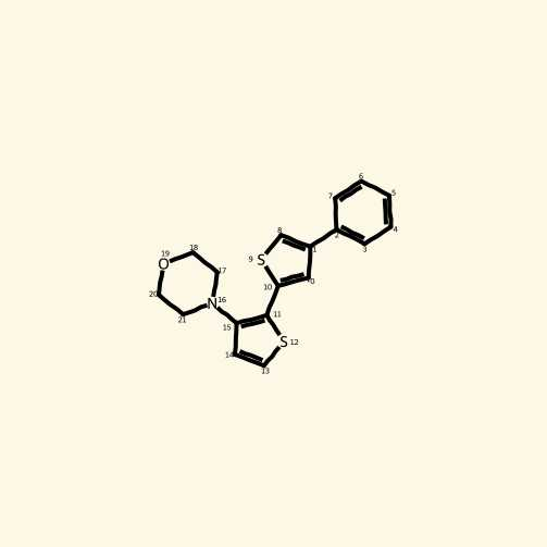 [c]1c(-c2ccccc2)csc1-c1sccc1N1CCOCC1